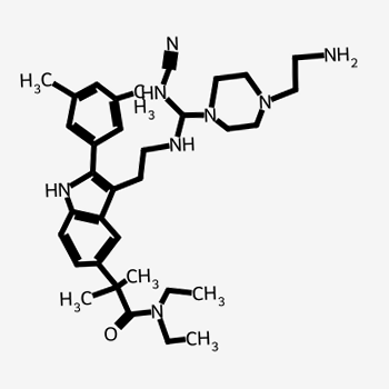 CCN(CC)C(=O)C(C)(C)c1ccc2[nH]c(-c3cc(C)cc(C)c3)c(CCNC(NC#N)N3CCN(CCN)CC3)c2c1